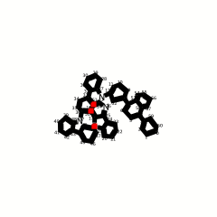 c1ccc(-c2ccc(-c3cccc(N(c4ccc5oc6ccccc6c5n4)c4ccccc4-c4ccc(-n5c6ccccc6c6ccccc65)cc4)c3)c3ccccc23)cc1